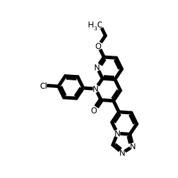 CCOc1ccc2cc(-c3ccc4nncn4c3)c(=O)n(-c3ccc(Cl)cc3)c2n1